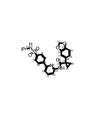 CC(C)NS(=O)(=O)c1ccc(-c2cccc(NC(=O)C3(c4ccc5c(c4)OCO5)CC3)n2)cc1